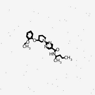 CCCC(C)NC(=O)c1cnc(N2CCCC(Oc3ccccc3OCC)C2)nc1